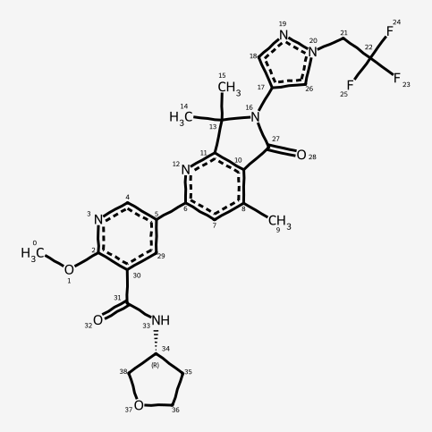 COc1ncc(-c2cc(C)c3c(n2)C(C)(C)N(c2cnn(CC(F)(F)F)c2)C3=O)cc1C(=O)N[C@@H]1CCOC1